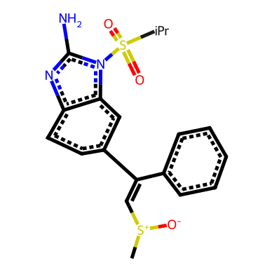 CC(C)S(=O)(=O)n1c(N)nc2ccc(C(=C[S+](C)[O-])c3ccccc3)cc21